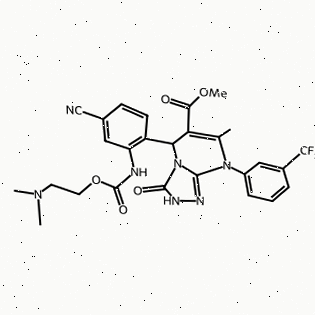 COC(=O)C1=C(C)N(c2cccc(C(F)(F)F)c2)c2n[nH]c(=O)n2C1c1ccc(C#N)cc1NC(=O)OCCN(C)C